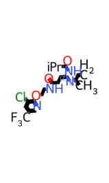 C=C/C(C)=N\C(=C/CC(=O)NCCOc1ncc(C(F)(F)F)cc1Cl)NC(=O)C(C)C